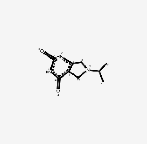 CC(C)N1Cc2[nH]c(=O)[nH]c(=O)c2C1